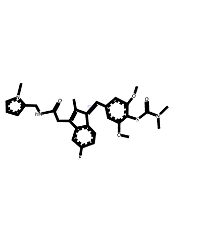 COc1cc(/C=C2/C(C)=C(CC(=O)NCc3cccn3C)c3cc(F)ccc32)cc(OC)c1SC(=O)N(C)C